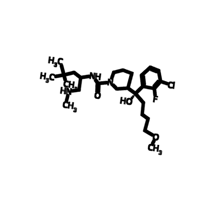 CNCC(CC(C)(C)C)NC(=O)N1CCCC([C@](O)(CCCCOC)c2cccc(Cl)c2F)C1